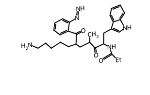 CCC(=O)NC(Cc1c[nH]c2ccccc12)C(=O)C(C)CC(CCCCCN)C(=O)c1ccccc1N=N